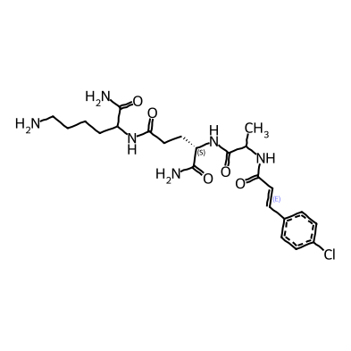 CC(NC(=O)/C=C/c1ccc(Cl)cc1)C(=O)N[C@@H](CCC(=O)NC(CCCCN)C(N)=O)C(N)=O